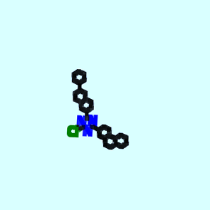 Clc1nc(-c2ccc3cc(-c4ccccc4)ccc3c2)nc(-c2ccc3c(ccc4ccccc43)c2)n1